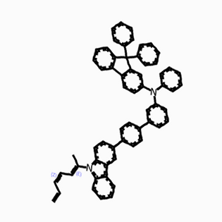 C=C/C=C\C=C(/C)n1c2ccccc2c2cc(-c3ccc(-c4cccc(N(c5ccccc5)c5ccc6c(c5)C(c5ccccc5)(c5ccccc5)c5ccccc5-6)c4)cc3)ccc21